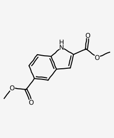 COC(=O)c1ccc2[nH]c(C(=O)OC)cc2c1